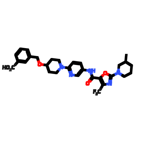 CC1CCCN(c2nc(C(F)(F)F)c(C(=O)Nc3ccc(N4CCC(OCc5cccc(C(=O)O)c5)CC4)nc3)o2)C1